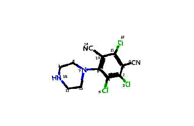 N#Cc1c(Cl)c(Cl)c(N2CCNCC2)c(C#N)c1Cl